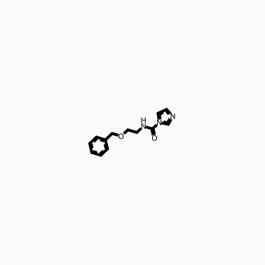 O=C(NCCOCc1ccccc1)n1ccnc1